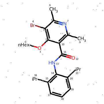 CCCCCCOc1c(Br)c(C)nc(C)c1C(=O)Nc1c(C(C)C)cccc1C(C)C